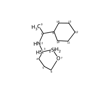 CC(N[SiH]1CCCO[SiH2]1)C1CCCCC1